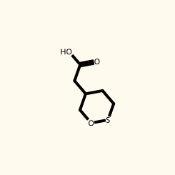 O=C(O)CC1CCSOC1